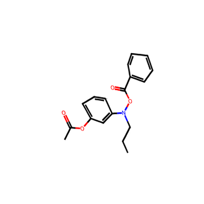 CCCN(OC(=O)c1ccccc1)c1[c]ccc(OC(C)=O)c1